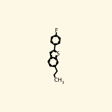 CCCc1ccc2cc(-c3ccc(F)cc3)sc2c1